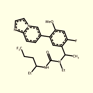 CCC(CCC(F)(F)F)NC(=O)N(CC)C(C)c1cc(-c2ccc3nccn3c2)c(OC)cc1F